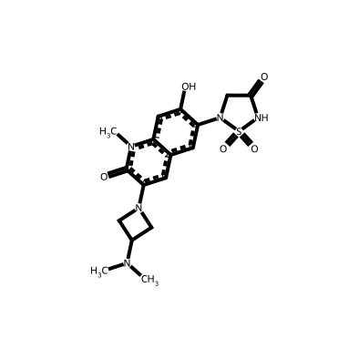 CN(C)C1CN(c2cc3cc(N4CC(=O)NS4(=O)=O)c(O)cc3n(C)c2=O)C1